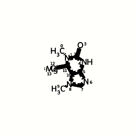 Cn1c(=O)[nH]c2ncn(C)c2c1=O.[Mg]